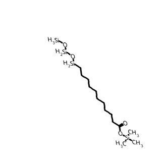 C[Si](C)(C)OC(=O)CCCCCCCCCC[SiH2]O[SiH2]O[SiH3]